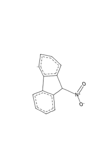 O=[N+]([O-])C1c2ccc[c]c2-c2ccccc21